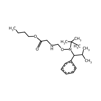 CCCCOC(=O)CNCON(C(c1ccccc1)C(C)C)C(C)(C)C